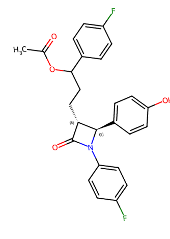 CC(=O)OC(CC[C@H]1C(=O)N(c2ccc(F)cc2)[C@@H]1c1ccc(O)cc1)c1ccc(F)cc1